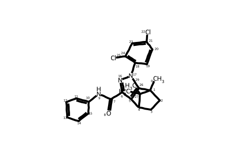 CC12CCC(c3c(C(=O)Nc4ccccc4)nn(-c4ccc(Cl)cc4Cl)c31)C2(C)C